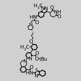 Cc1c(OCCC[C@@H]2CCN(CC(=O)Nc3ccc4c(C5CCC(=O)NC5=O)nn(C)c4c3)C2)cccc1-c1ccc(N2CCc3cccc(C(=O)Nc4nc5ccccc5s4)c3C2)nc1C(=O)OC(C)(C)C